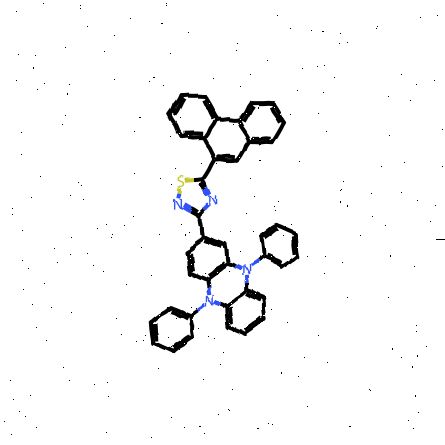 c1ccc(N2c3ccccc3N(c3ccccc3)c3cc(-c4nsc(-c5cc6ccccc6c6ccccc56)n4)ccc32)cc1